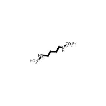 CCOC(=O)NCCCCNC(=O)O